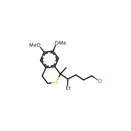 CCC(CCCCl)C1(C)SCCc2cc(OC)c(OC)cc21